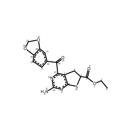 CCOC(=O)C1Cc2c(nc(N)nc2C(=O)c2ccc3c(c2)OCO3)S1